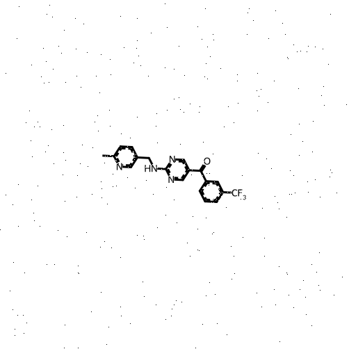 Cc1ccc(CNc2ncc(C(=O)c3cccc(C(F)(F)F)c3)cn2)cn1